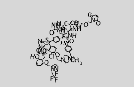 Cc1c(-c2c(-c3ccc(F)cc3)sc3ncnc(O[C@H](Cc4ccccc4OCc4ccnn4CC(F)(F)F)C(=O)O)c23)ccc(OCCN2CC[N+](C)(Cc3ccc(NC(=O)[C@H](CCCNC(N)=O)NC(=O)[C@@H](NC(=O)CCOCCN4C(=O)C=CC4=O)C(C)C)cc3)CC2)c1Cl